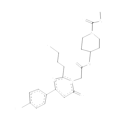 CCNC(=O)N1CCC(NC(=O)Cn2c(CCCC(F)(F)F)nc(-c3ccc(C(F)(F)F)cc3)cc2=O)CC1